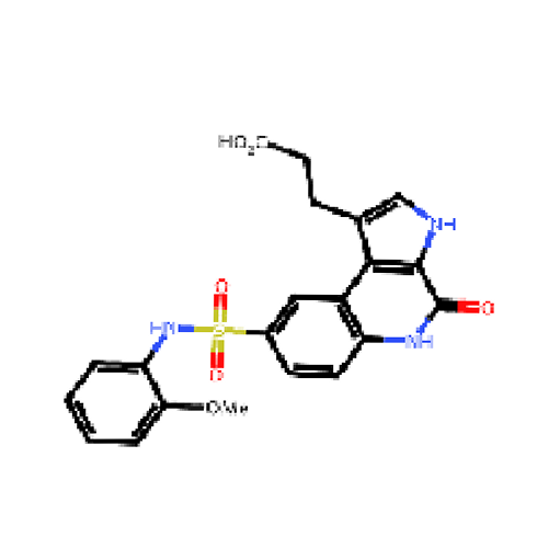 COc1ccccc1NS(=O)(=O)c1ccc2[nH]c(=O)c3[nH]cc(CCC(=O)O)c3c2c1